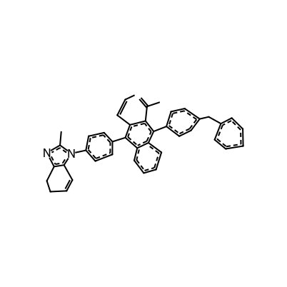 C=C(C)c1c(/C=C\C)c(-c2ccc(-n3c(C)nc4c3C=CCC4)cc2)c2ccccc2c1-c1ccc(Cc2ccccc2)cc1